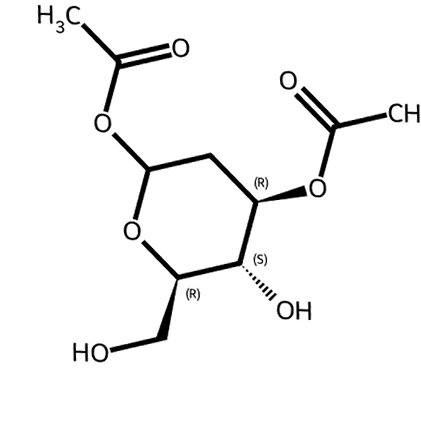 CC(=O)OC1C[C@@H](OC(C)=O)[C@H](O)[C@@H](CO)O1